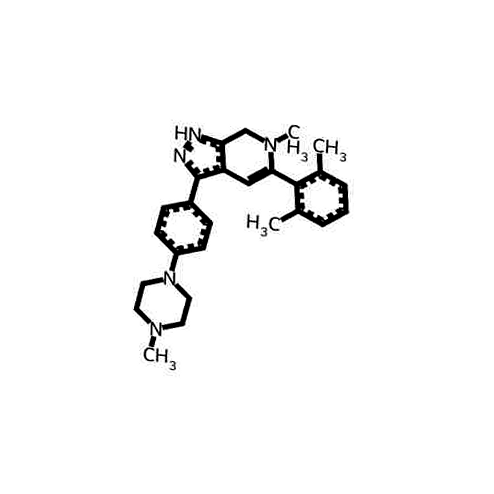 Cc1cccc(C)c1C1=Cc2c(-c3ccc(N4CCN(C)CC4)cc3)n[nH]c2CN1C